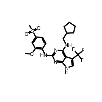 COc1cc(S(C)(=O)=O)ccc1Nc1nc(NCC2CCCC2)c2c(C(F)(F)F)c[nH]c2n1